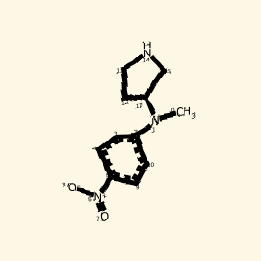 CN(c1ccc([N+](=O)[O-])cc1)[C@H]1CCNC1